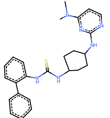 CN(C)c1ccnc(NC2CCC(NC(=S)Nc3ccccc3-c3ccccc3)CC2)n1